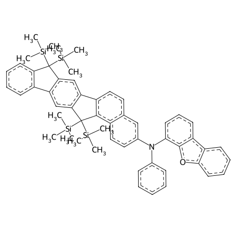 C[Si](C)(C)C1([Si](C)(C)C)c2ccccc2-c2cc3c(cc21)-c1ccc2cc(N(c4ccccc4)c4cccc5c4oc4ccccc45)ccc2c1C3([Si](C)(C)C)[Si](C)(C)C